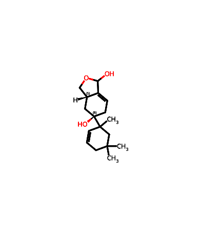 CC1(C)CC=CC(C)([C@@]2(O)CC=C3C(O)OC[C@H]3C2)C1